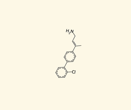 CC(=CCN)c1ccc(-c2ccccc2Cl)cc1